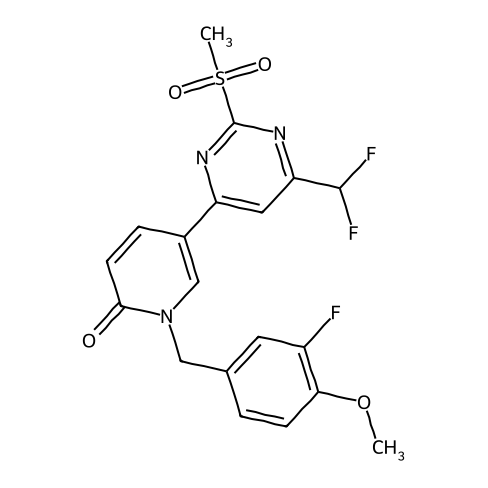 COc1ccc(Cn2cc(-c3cc(C(F)F)nc(S(C)(=O)=O)n3)ccc2=O)cc1F